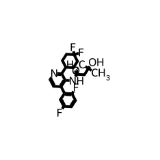 CC(C)(O)CC(=O)Nc1c(-c2cc(F)ccc2F)ccnc1C1CCC(F)(F)CC1